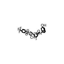 C[C@@H]1CN(S(=O)(=O)c2ccc(C(F)(F)F)cc2)CCN1c1cccc(C(=O)NC2C3CC4CC2CC(O)(C4)C3)n1